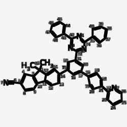 CC1(C)c2cc(C#N)ccc2-c2ccc(-c3cc(-c4ccc(-c5ccccn5)cc4)cc(-c4nc(-c5ccccc5)nc(-c5ccccc5)n4)c3)cc21